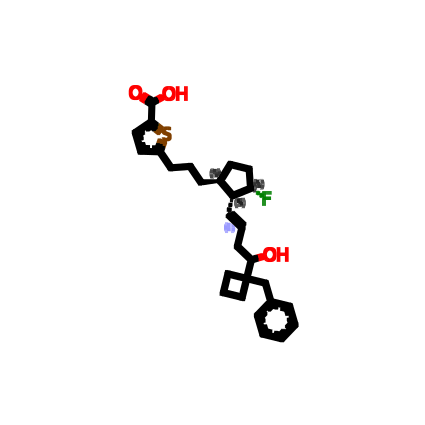 O=C(O)c1ccc(CCC[C@H]2CC[C@H](F)[C@@H]2/C=C/CC(O)C2(Cc3ccccc3)CCC2)s1